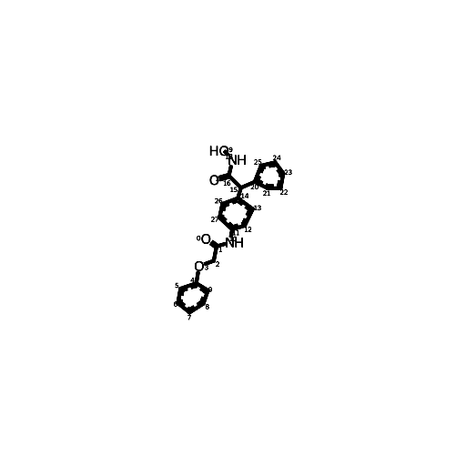 O=C(COc1ccccc1)Nc1ccc(C(C(=O)NO)c2ccccc2)cc1